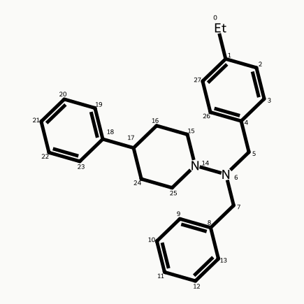 CCc1ccc(CN(Cc2ccccc2)N2CCC(c3ccccc3)CC2)cc1